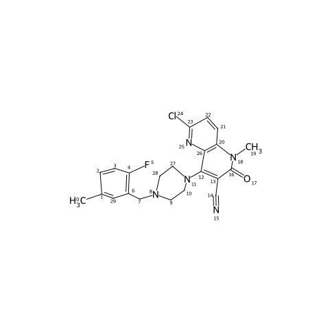 Cc1ccc(F)c(CN2CCN(c3c(C#N)c(=O)n(C)c4ccc(Cl)nc34)CC2)c1